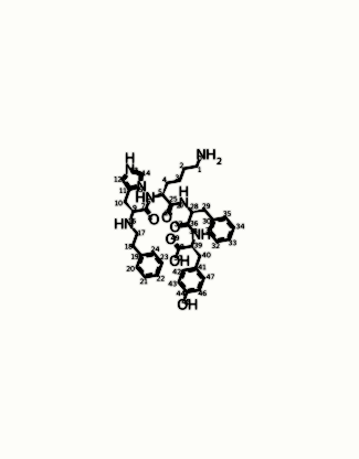 NCCCC[C@H](NC(=O)[C@H](Cc1c[nH]cn1)NCCc1ccccc1)C(=O)N[C@@H](Cc1ccccc1)C(=O)N[C@@H](Cc1ccc(O)cc1)C(=O)O